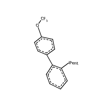 [CH2]CCC(C)c1ccccc1-c1ccc(OC(F)(F)F)cc1